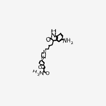 NC(=O)c1cc2cc(N3CCN(CCCCC4C(=O)Nc5ccc(N)cc54)CC3)ccc2o1